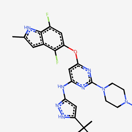 Cc1cc2c(F)c(Oc3cc(Nc4cc(C(C)(C)C)[nH]n4)nc(N4CCN(C)CC4)n3)cc(F)c2[nH]1